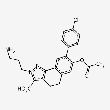 NCCCn1nc2c(c1C(=O)O)CCc1cc(OC(=O)C(F)(F)F)c(-c3ccc(Cl)cc3)cc1-2